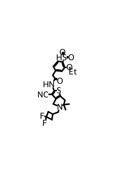 CCOc1cc(CC(=O)Nc2sc3c(c2C#N)CN(CC2CC(F)(F)C2)C(C)(C)C3)ccc1[SH](=O)=O